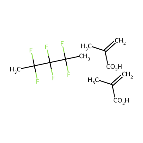 C=C(C)C(=O)O.C=C(C)C(=O)O.CC(F)(F)C(F)(F)C(C)(F)F